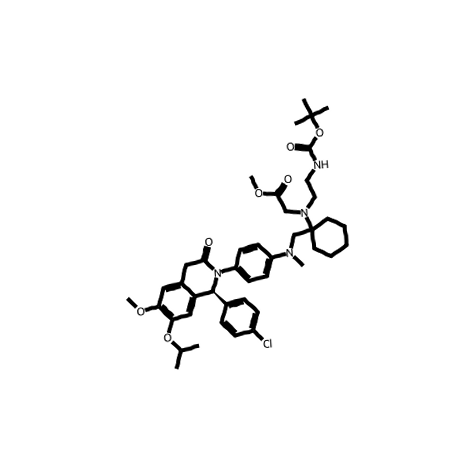 COC(=O)CN(CCNC(=O)OC(C)(C)C)C1(CN(C)c2ccc(N3C(=O)Cc4cc(OC)c(OC(C)C)cc4[C@@H]3c3ccc(Cl)cc3)cc2)CCCCC1